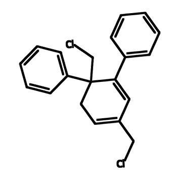 ClCC1=CCC(CCl)(c2ccccc2)C(c2ccccc2)=C1